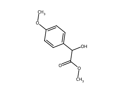 COC(=O)C(O)c1ccc(OC)cc1